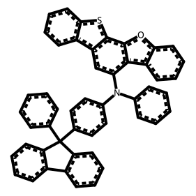 c1ccc(N(c2ccc(C3(c4ccccc4)c4ccccc4-c4ccccc43)cc2)c2cc3c4ccccc4sc3c3oc4ccccc4c23)cc1